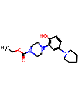 CCOC(=O)N1CCN(c2cc(N3CCCCC3)ccc2O)CC1